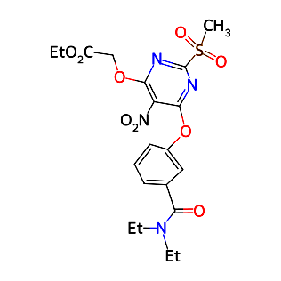 CCOC(=O)COc1nc(S(C)(=O)=O)nc(Oc2cccc(C(=O)N(CC)CC)c2)c1[N+](=O)[O-]